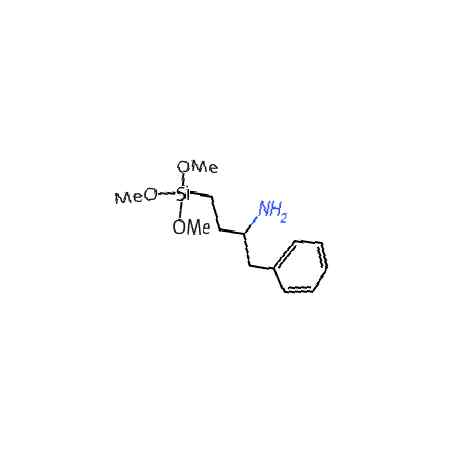 CO[Si](CCC(N)Cc1ccccc1)(OC)OC